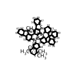 CC1(C)CCC(C)(C)c2cc(N3B4c5cccc6c5N(c5ccccc5C6(c5ccccc5)c5ccccc5)c5c4c(cc4c5sc5ccccc54)-c4c3ccc3c4C(C)(C)c4ccccc4-3)ccc21